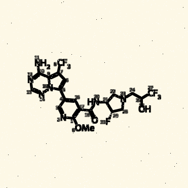 COc1ncc(-c2cc(C(F)(F)F)c3c(N)ncnn23)cc1C(=O)N[C@H]1CN(CC(O)C(F)(F)F)C[C@@H]1F